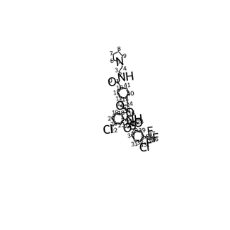 O=C(NCCN1CCCC1)c1ccc(CS(=O)(=O)c2ccc(Cl)cc2NS(=O)(=O)c2ccc(Cl)c(C(F)(F)F)c2)cc1